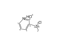 Cl.[CH3][Zn]([Cl])[c]1cccnc1